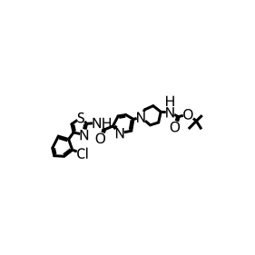 CC(C)(C)OC(=O)NC1CCN(c2ccc(C(=O)Nc3nc(-c4ccccc4Cl)cs3)nc2)CC1